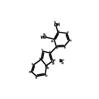 Oc1cccc(-c2cc3ccccn3[o+]2)c1O.[Br-]